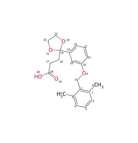 Cc1cccc(C)c1COc1cccc(C2(CCC(=O)O)OCCO2)c1